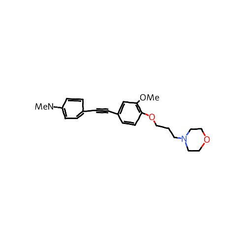 CNc1ccc(C#Cc2ccc(OCCCN3CCOCC3)c(OC)c2)cc1